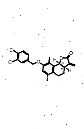 C=C1C(=O)O[C@H]2c3c(C)c(OCc4ccc(Cl)c(Cl)c4)cc(C)c3CC[C@@H]12